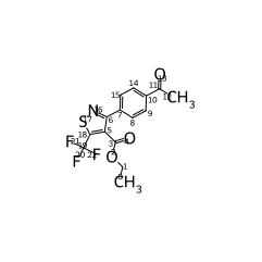 CCOC(=O)c1c(-c2ccc(C(C)=O)cc2)nsc1C(F)(F)F